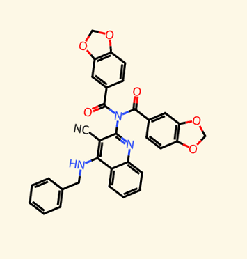 N#Cc1c(N(C(=O)c2ccc3c(c2)OCO3)C(=O)c2ccc3c(c2)OCO3)nc2ccccc2c1NCc1ccccc1